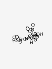 O=C(C=NOCc1csc(NC(=O)CCl)n1)N[C@@H]1C(=O)N(S(=O)(=O)O)[C@@H]1SCC(=O)OC(c1ccccc1)c1ccccc1